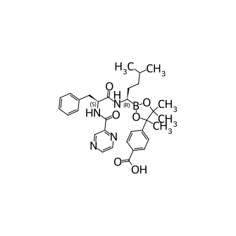 CC(C)CC[C@H](NC(=O)[C@H](Cc1ccccc1)NC(=O)c1cnccn1)B1OC(C)(C)C(C)(c2ccc(C(=O)O)cc2)O1